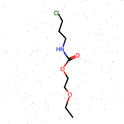 CCOCCOC(=O)NCCCCl